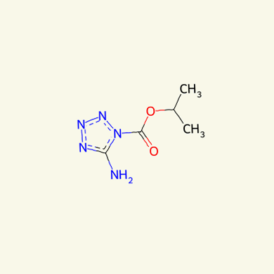 CC(C)OC(=O)n1nnnc1N